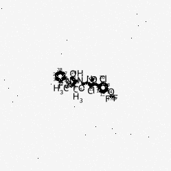 Cc1c(NC(=O)c2noc(-c3ccc(OC(F)F)cc3Cl)c2Cl)c(=O)n(-c2ccccc2F)n1C